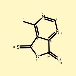 Cc1ncnc2c1C(=S)OC2=O